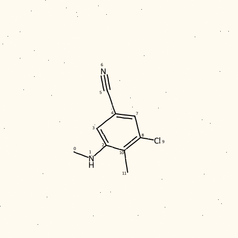 CNc1cc(C#N)cc(Cl)c1C